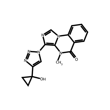 Cn1c(=O)c2ccccc2n2cnc(-n3cc(C4(O)CC4)nn3)c12